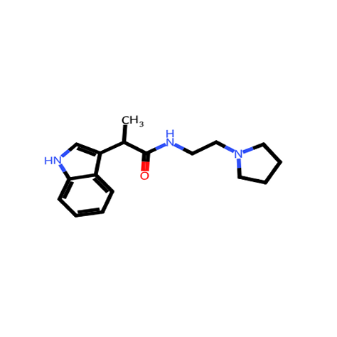 CC(C(=O)NCCN1CCCC1)c1c[nH]c2ccccc12